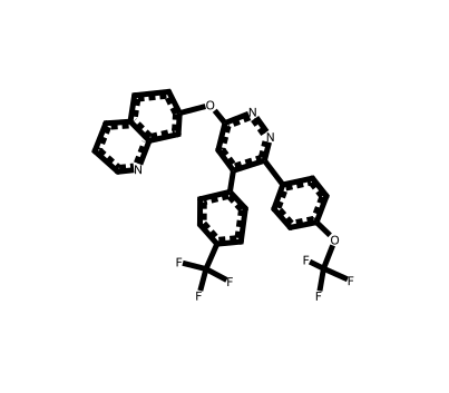 FC(F)(F)Oc1ccc(-c2nnc(Oc3ccc4cccnc4c3)cc2-c2ccc(C(F)(F)F)cc2)cc1